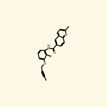 CC#CCOc1cccc(NC(=O)c2ccc3nc(C)ccc3c2)c1F